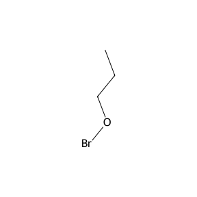 CCCOBr